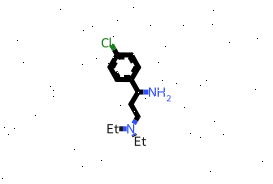 CCN(CC)CCC(N)c1ccc(Cl)cc1